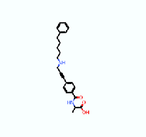 CC(NC(=O)c1ccc(C#CCNCCCCCc2ccccc2)cc1)C(=O)O